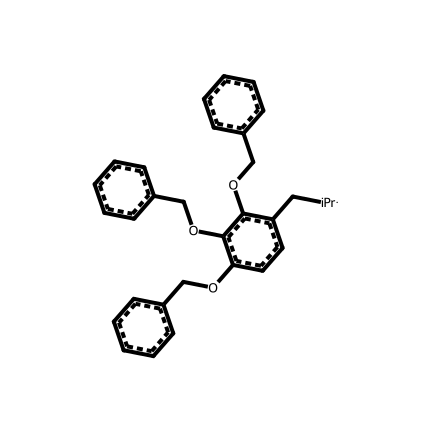 C[C](C)Cc1ccc(OCc2ccccc2)c(OCc2ccccc2)c1OCc1ccccc1